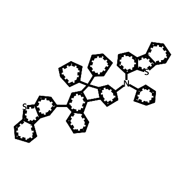 c1ccc(N(c2ccc3c(c2)C(c2ccccc2)(c2ccccc2)c2cc(-c4ccc5sc6ccccc6c5c4)c4ccccc4c2-3)c2cccc3c2sc2ccccc23)cc1